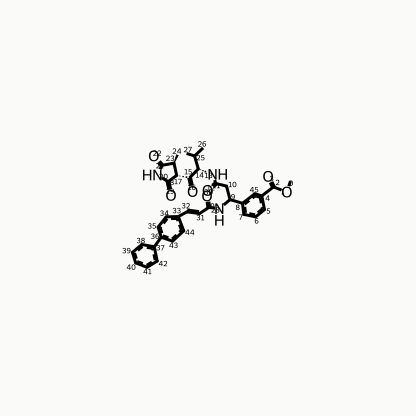 COC(=O)c1cccc(C(CC(=O)N[C@H](C(=O)[C@@H]2C(=O)NC(=O)[C@H]2C)C(C)C)NC(=O)/C=C/c2ccc(-c3ccccc3)cc2)c1